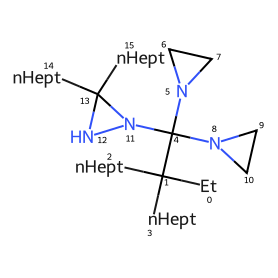 [CH2]CC(CCCCCCC)(CCCCCCC)C(N1CC1)(N1CC1)N1NC1(CCCCCCC)CCCCCCC